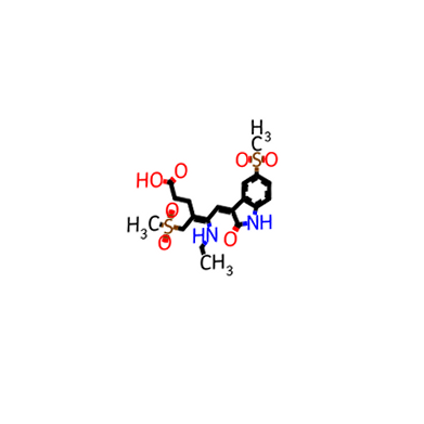 CCNC(/C=C1\C(=O)Nc2ccc(S(C)(=O)=O)cc21)=C(/CCC(=O)O)CS(C)(=O)=O